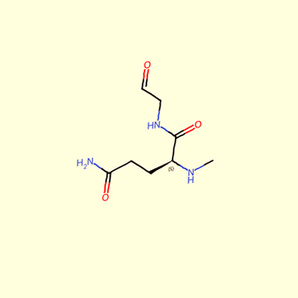 CN[C@@H](CCC(N)=O)C(=O)NCC=O